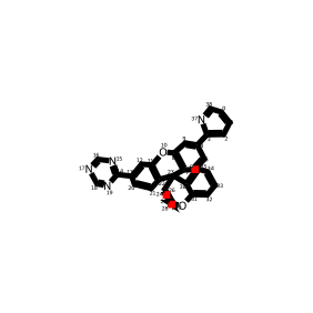 c1ccc(-c2ccc3c(c2)Oc2cc(-c4ncncn4)ccc2C32c3ccccc3Oc3ccccc32)nc1